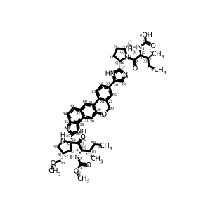 CC[C@H](C)[C@H](NC(=O)O)C(=O)N1[C@@H](C)CC[C@H]1c1ncc(-c2ccc3c(c2)COc2cc4c(ccc5nc([C@]6(C(=O)[C@@H](NC(=O)OC)[C@@H](C)CC)C[C@H](COC)CN6)[nH]c54)cc2-3)[nH]1